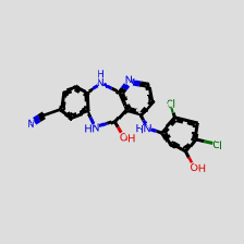 N#Cc1ccc2c(c1)NC(O)c1c(Nc3cc(O)c(Cl)cc3Cl)ccnc1N2